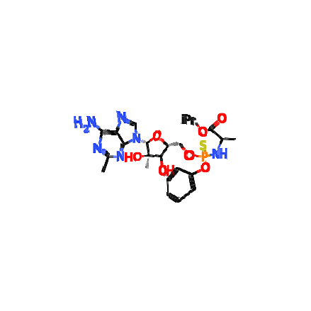 Cc1nc(N)c2ncn([C@@H]3O[C@H](COP(=S)(NC(C)C(=O)OC(C)C)Oc4ccccc4)[C@@H](O)[C@@]3(C)O)c2n1